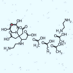 CC(=O)O.CC(=O)O.CC(=O)O.CC(=O)O.NCCN.NCCNC(CC(=O)O)C(CC(=O)O)(CC(=O)O)N(CC(=O)O)CC(=O)O